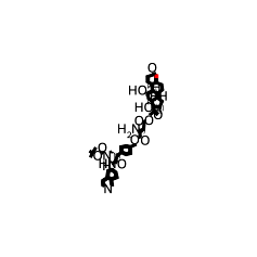 C[C@@H]1C[C@H]2[C@@H]3CCC4=CC(=O)C=C[C@]4(C)[C@@]3(F)[C@@H](O)C[C@]2(C)[C@@]1(O)C(=O)COC(=O)C[C@H](N)C(=O)OCc1ccc([C@@H](CNC(=O)OC(C)(C)C)C(=O)Nc2ccc3cnccc3c2)cc1